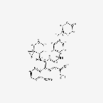 COc1cccnc1-c1nc(C(N)=O)c(Nc2ccc(CN3CCOCC3)cc2)nc1NC1CCOCC12CC2